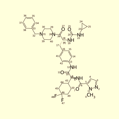 Cn1nccc1C(=O)N[C@H](C(=O)Nc1ccc(C[C@@H](NC(=O)NC2CC2)C(=O)N2CCN(Cc3ccccc3)CC2)cc1)C1CCC(F)(F)CC1